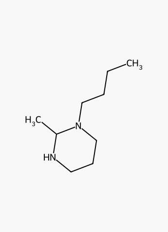 CCCCN1CCCNC1C